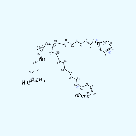 CCCCC/C=C\C/C=C\CCCCCCCCC(CCCCCCCC/C=C\C/C=C\CCCCC)OC1OC1NCCCN(C)C